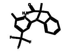 Cc1cc(C(F)(F)F)cc(N2c3ccccc3CC2(C)C(N)=O)n1